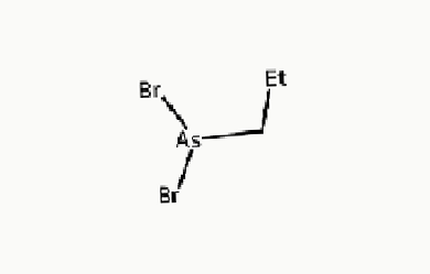 CCC[As](Br)Br